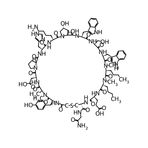 CCCC[C@H]1C(=O)N(C)[C@@H](CCCC)C(=O)N[C@@H](CCC(=O)O)C(=O)N[C@H](C(=O)NCC(N)=O)CSCC(=O)N[C@@H](Cc2ccc(O)cc2)C(=O)N(C)[C@@H](C)C(=O)N[C@@H](CC(=O)O)C(=O)N2CCC[C@H]2C(=O)N[C@@H](Cc2c[nH]cn2)C(=O)N[C@@H](CCCCN)C(=O)N2C[C@H](O)C[C@H]2C(=O)N[C@@H](Cc2c[nH]c3ccccc23)C(=O)N[C@@H](CO)C(=O)N[C@@H](Cc2c[nH]c3ccccc23)C(=O)N1C